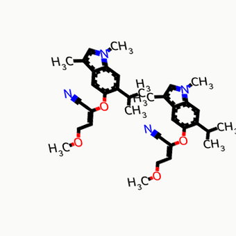 COCC=C(C#N)Oc1cc2c(C)cn(C)c2cc1C(C)C.COCC=C(C#N)Oc1cc2c(C)cn(C)c2cc1C(C)C